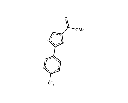 COC(=O)c1coc(-c2ccc(C(F)(F)F)cc2)n1